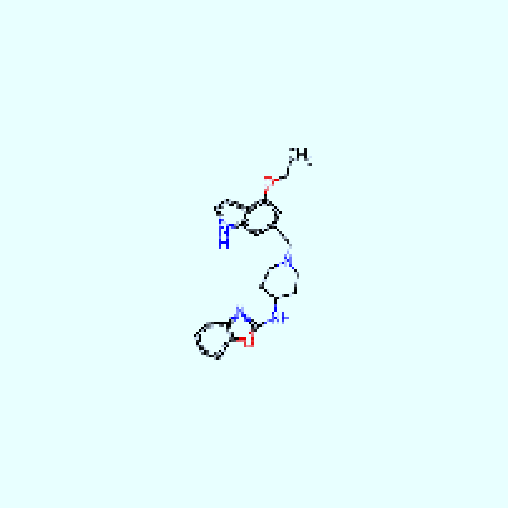 CCOc1cc(CN2CCC(Nc3nc4ccccc4o3)CC2)cc2[nH]ccc12